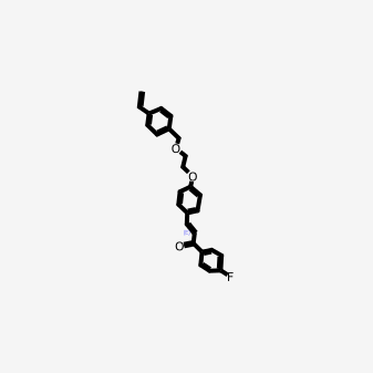 C=Cc1ccc(COCCOc2ccc(/C=C/C(=O)c3ccc(F)cc3)cc2)cc1